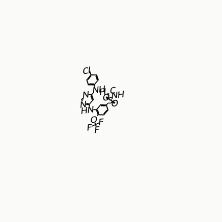 CNS(=O)(=O)c1ccc(OC(F)(F)F)c(Nc2cc(Nc3ccc(Cl)cc3)ncn2)c1